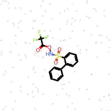 O=C(ONS(=O)(=O)c1ccccc1-c1ccccc1)C(F)(F)F